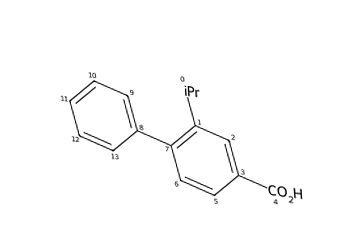 CC(C)c1cc(C(=O)O)ccc1-c1ccccc1